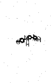 COc1ccc(-c2nc3c([nH]2)CC(C2=NNC(=O)CC2C)C=C3)cc1